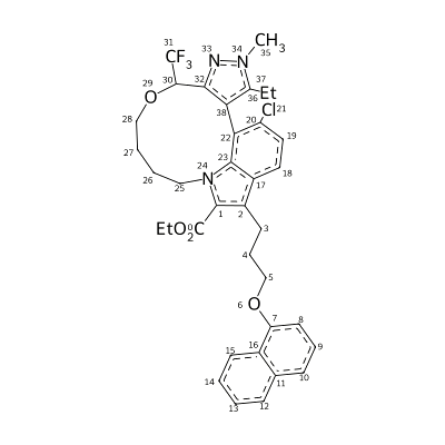 CCOC(=O)c1c(CCCOc2cccc3ccccc23)c2ccc(Cl)c3c2n1CCCCOC(C(F)(F)F)c1nn(C)c(CC)c1-3